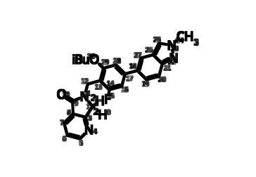 [2H]C1([2H])c2ncccc2C(=O)N1Cc1c(F)cc(-c2ccc3nn(C)cc3c2)cc1OCC(C)C